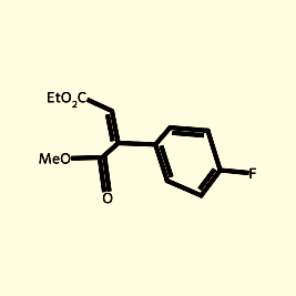 CCOC(=O)/C=C(\C(=O)OC)c1ccc(F)cc1